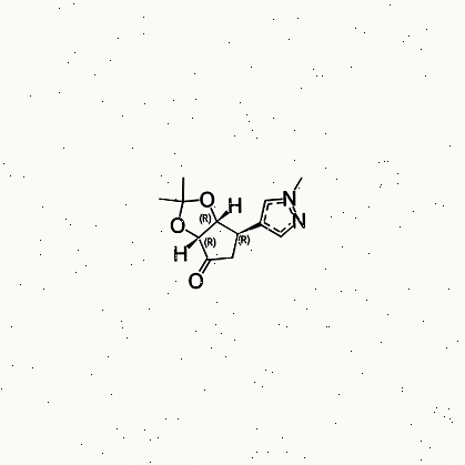 Cn1cc([C@H]2CC(=O)[C@@H]3OC(C)(C)O[C@H]23)cn1